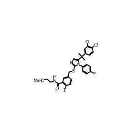 COCCNC(=O)c1cc(CSc2ncc(C(C)(C)c3ccc(Cl)c(Cl)c3)n2-c2ccc(F)cc2)ccc1F